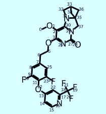 COc1c(OCCc2cc(F)c(Oc3ccnc(C(F)(F)F)c3)c(F)c2)nc(=O)n2c1N1CC3CC1(C3)C2